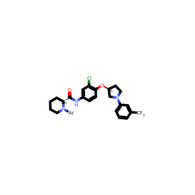 CC(=O)N1CCCC[C@@H]1C(=O)Nc1ccc(O[C@H]2CCN(c3cccc(C(F)(F)F)c3)C2)c(Cl)c1